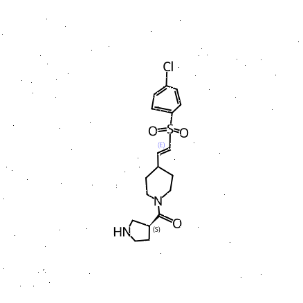 O=C([C@H]1CCNC1)N1CCC(/C=C/S(=O)(=O)c2ccc(Cl)cc2)CC1